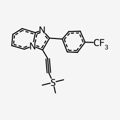 CS(C)(C)C#Cc1c(-c2ccc(C(F)(F)F)cc2)nc2ccccn12